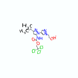 CC(C)c1cc(NC(=O)OCC(Cl)(Cl)Cl)n(-c2cnn(CCO)c2)n1